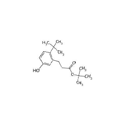 CC(C)(C)OC(=O)CCc1cc(O)ccc1C(C)(C)C